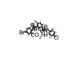 Cc1ccc(S(=O)(=O)NCc2ccc(Cl)cc2)cc1C(=O)Nc1ccc(Br)cc1C(=O)O